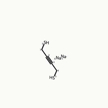 SCC#CCS.[Na].[Na]